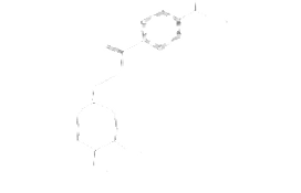 CC(C)c1ccc(C(=O)OO[C]2CCC(C)C(C)C2)cc1